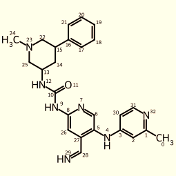 Cc1cc(Nc2cnc(NC(=O)NC3CC(c4ccccc4)CN(C)C3)cc2C=N)ccn1